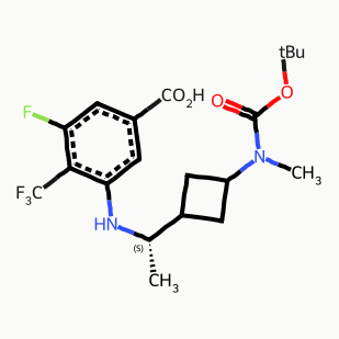 C[C@H](Nc1cc(C(=O)O)cc(F)c1C(F)(F)F)C1CC(N(C)C(=O)OC(C)(C)C)C1